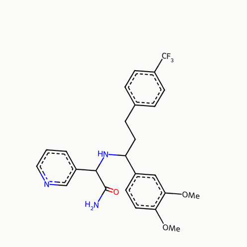 COc1ccc(C(CCc2ccc(C(F)(F)F)cc2)NC(C(N)=O)c2cccnc2)cc1OC